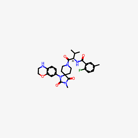 Cc1ccc(F)c(C(=O)N[C@@H](C(=O)N2CCC3(CC2)C(=O)N(C)C(=O)N3c2ccc3c(c2)OCCN3)C(C)C)c1